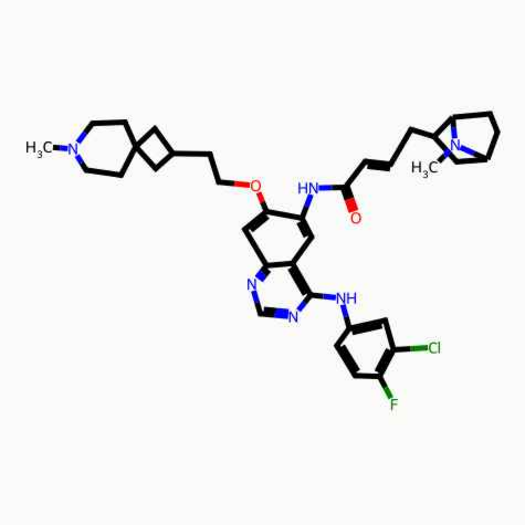 CN1CCC2(CC1)CC(CCOc1cc3ncnc(Nc4ccc(F)c(Cl)c4)c3cc1NC(=O)/C=C/CC1CC3CCC1N3C)C2